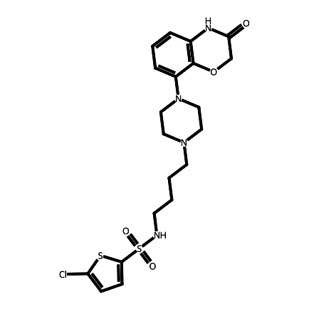 O=C1COc2c(cccc2N2CCN(CCCCNS(=O)(=O)c3ccc(Cl)s3)CC2)N1